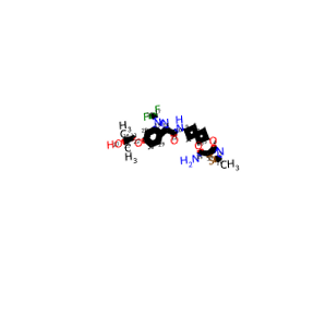 Cc1nc(O[C@H]2CC3(C[C@H](NC(=O)c4nn(C(F)F)c5cc(OCC(C)(C)O)ccc45)C3)C2)c(C(N)=O)s1